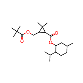 CC1CCC(C(C)C)C(OC(=O)C2C(COC(=O)C(C)(C)C)C2(C)C)C1